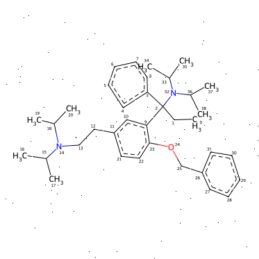 CCC(c1ccccc1)(c1cc(CCN(C(C)C)C(C)C)ccc1OCc1ccccc1)N(C(C)C)C(C)C